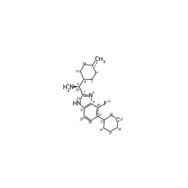 CC1CCC([C@H](N)c2nc3c(F)c(C4CCCOC4)ccc3[nH]2)CC1